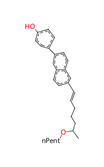 CCCCCOC(C)CCC/C=C/c1ccc2cc(-c3ccc(O)cc3)ccc2c1